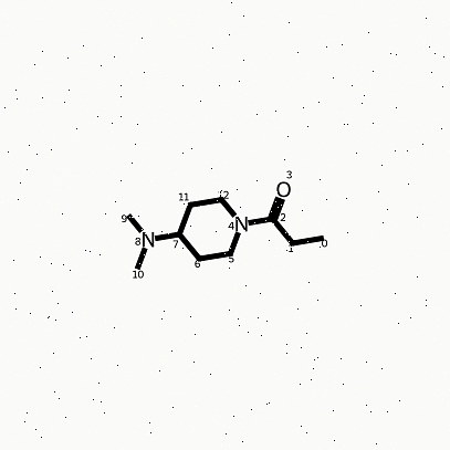 CCC(=O)N1CCC(N(C)C)CC1